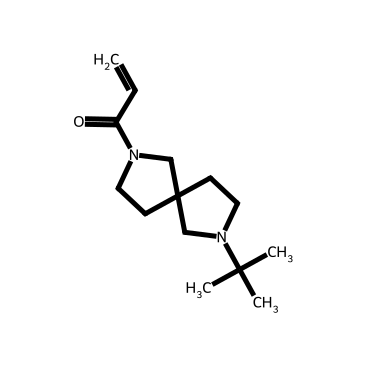 C=CC(=O)N1CCC2(CCN(C(C)(C)C)C2)C1